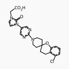 O=C(O)Cn1ccn(-c2cnc(N3CCC4(CCc5c(Cl)cccc5O4)CC3)nc2)c1=O